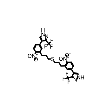 O=[N+]([O-])c1ccc(-c2c[nH]nc2C(F)(F)F)cc1CCCSCCCc1cc(-c2c[nH]nc2C(F)(F)F)ccc1[N+](=O)[O-]